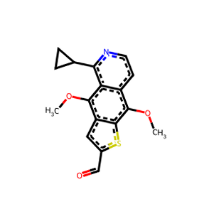 COc1c2ccnc(C3CC3)c2c(OC)c2cc(C=O)sc12